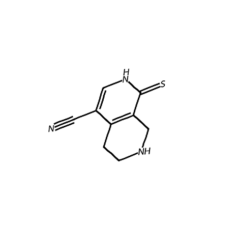 N#Cc1c[nH]c(=S)c2c1CCNC2